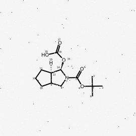 CC(C)(C)OC(=O)N1CC2CCC[C@H]2[C@H]1OC(=O)O